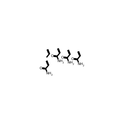 C=CC.C=CC(N)=O.C=CC(N)=O.C=CC(N)=O.C=CC(N)=O